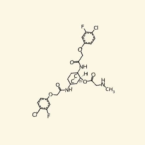 CNCC(=O)O[C@H]1CC2(NC(=O)COc3ccc(Cl)c(F)c3)CCC1(NC(=O)COc1ccc(Cl)c(F)c1)CC2